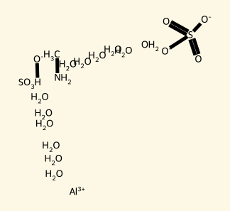 CN.O.O.O.O.O.O.O.O.O.O.O.O.O=S(=O)([O-])O.O=S(=O)([O-])[O-].[Al+3]